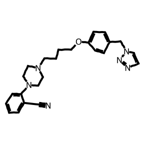 N#Cc1ccccc1N1CCN(CCCCOc2ccc(Cn3ccnn3)cc2)CC1